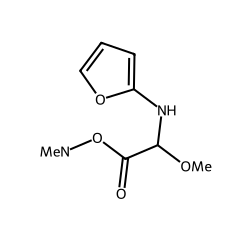 CNOC(=O)C(Nc1ccco1)OC